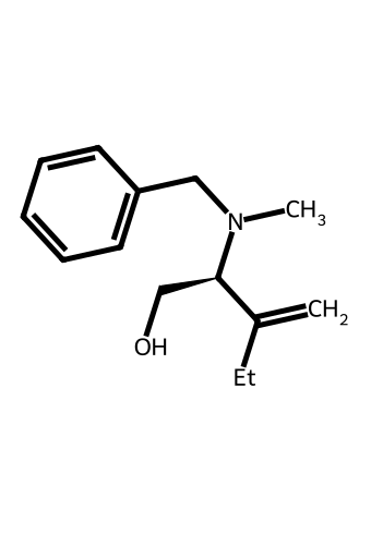 C=C(CC)[C@@H](CO)N(C)Cc1ccccc1